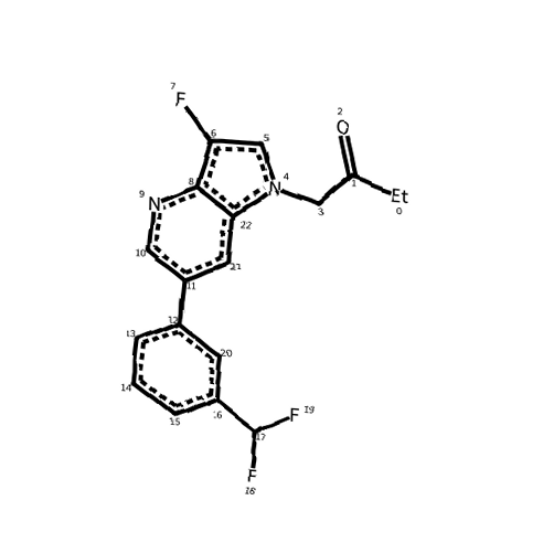 CCC(=O)Cn1cc(F)c2ncc(-c3cccc(C(F)F)c3)cc21